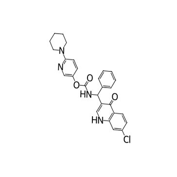 O=C(NC(c1ccccc1)c1c[nH]c2cc(Cl)ccc2c1=O)Oc1ccc(N2CCCCC2)nc1